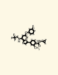 Cc1cc(-c2cnc3c(NCC(F)(F)F)cc(Oc4cccc(F)c4)nn23)ccc1C(=O)NC1CC1